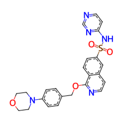 O=S(=O)(Nc1ccncn1)c1ccc2c(OCc3ccc(N4CCOCC4)cc3)nccc2c1